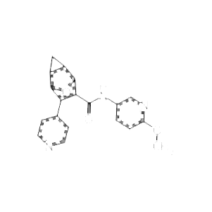 COc1ccc(NC(=O)c2c(-c3ccncc3)c3oc2c2c3C2)cn1